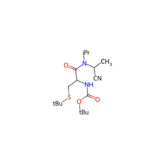 CC(C)N(C(=O)C(CSC(C)(C)C)NC(=O)OC(C)(C)C)C(C)C#N